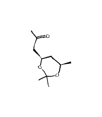 CC(=O)C[C@H]1C[C@@H](C)OC(C)(C)O1